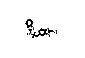 CC(C)Nc1nc2ccc(CC(C)(C)Nc3nc4ccccc4s3)cc2n1C